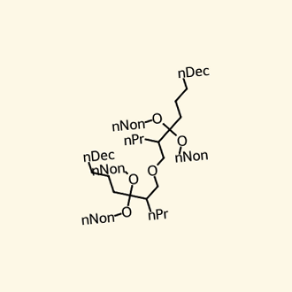 CCCCCCCCCCCCCC(OCCCCCCCCC)(OCCCCCCCCC)C(CCC)COCC(CCC)C(CCCCCCCCCCCCC)(OCCCCCCCCC)OCCCCCCCCC